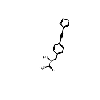 NC(=O)N(O)Cc1ccc(C#Cc2ccsc2)cc1